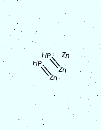 [PH]=[Zn].[PH]=[Zn].[Zn]